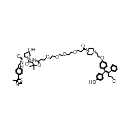 Cc1ncsc1-c1ccc(CNC(=O)[C@@H]2C[C@@H](O)CN2C(=O)[C@@H](NC(=O)CCOCCOCCOCCOCCC(=O)N2CCN(CCOc3ccc(C(=C(CCCl)c4ccccc4)c4ccc(O)cc4)cc3)CC2)C(C)(C)C)cc1